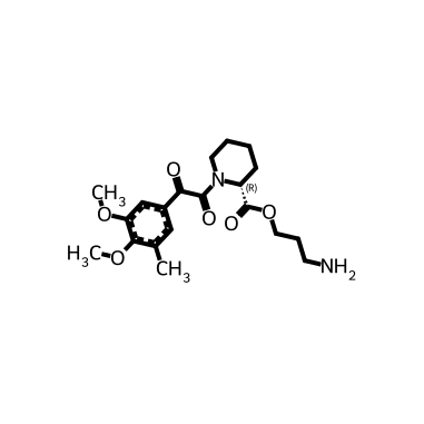 COc1cc(C(=O)C(=O)N2CCCC[C@@H]2C(=O)OCCCN)cc(C)c1OC